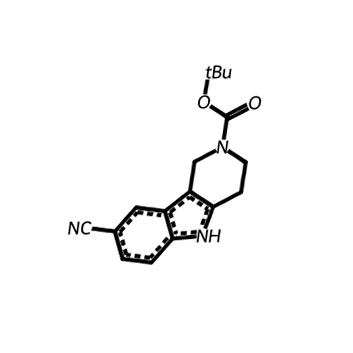 CC(C)(C)OC(=O)N1CCc2[nH]c3ccc(C#N)cc3c2C1